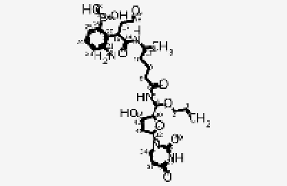 C=CCOC(NC(=O)CCCC(C)NC(=O)C(CC=O)c1c(N)cccc1B(O)O)[C@H]1O[C@@H](n2ccc(=O)[nH]c2=O)C[C@@H]1O